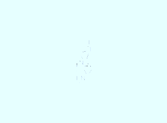 CC(=O)N(c1cc(N)ccn1)c1ccc(C(F)(F)F)cc1F